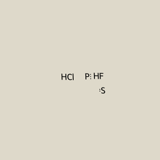 Cl.F.[P].[S]